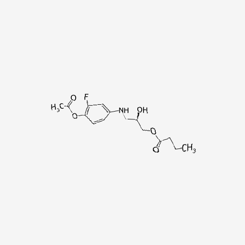 CCCC(=O)OC[C@H](O)CNc1ccc(OC(C)=O)c(F)c1